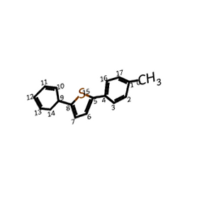 Cc1ccc(-c2ccc(C3C=CC=CC3)s2)cc1